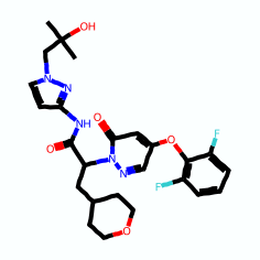 CC(C)(O)Cn1ccc(NC(=O)C(CC2CCOCC2)n2ncc(Oc3c(F)cccc3F)cc2=O)n1